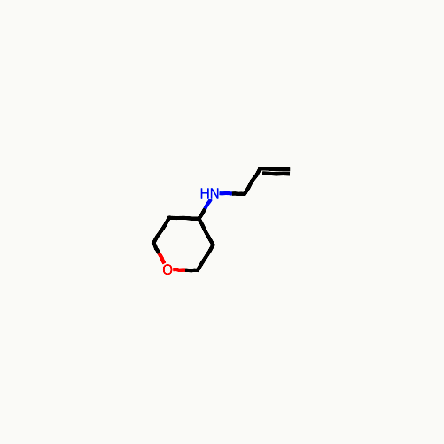 C=CCNC1CCOCC1